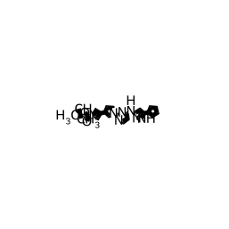 CC(C)(C)OC(=O)N1CC(C2CCN(c3nccc(Nc4cc(C5CCCC5)[nH]n4)n3)C2)C1